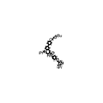 CCCCOCCOc1ccc(-c2ccc3c(c2)C=C(C(=O)Nc2ccc(OCc4nncn4CC(C)C)cc2)CCN3CC(C)C)cc1